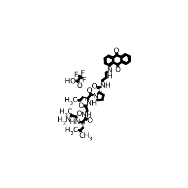 CCC[C@H](NC(=O)CNC(=O)[C@H](CC(C)C)NC(=O)[C@H](C)N)C(=O)N1CCC[C@H]1C(=O)NCCCNc1cccc2c1C(=O)c1ccccc1C2=O.O=C(O)C(F)(F)F